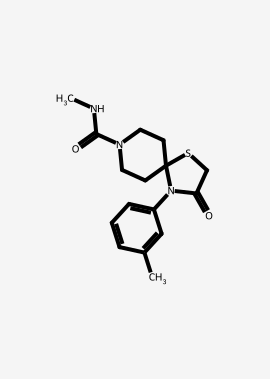 CNC(=O)N1CCC2(CC1)SCC(=O)N2c1cccc(C)c1